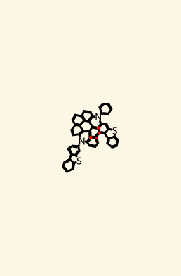 c1ccc(N(c2ccc3c(c2)sc2ccccc23)c2ccc3ccc4ccc(N(c5ccccc5)c5ccc6c(c5)sc5ccccc56)c5c6ccccc6c2c3c45)cc1